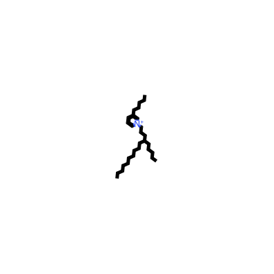 CCCCCCCCCCC(CCCCC)CCC[n+]1cccc(CCCCC)c1